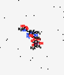 CC(C)C(=O)N[C@@H](C=O)[C@@H](OC(C)C(=O)NC(C(=O)NC(CCC(=O)NC(C)C(=O)O)C(N)=O)C(C)C)[C@H](O)[C@H](O)CO